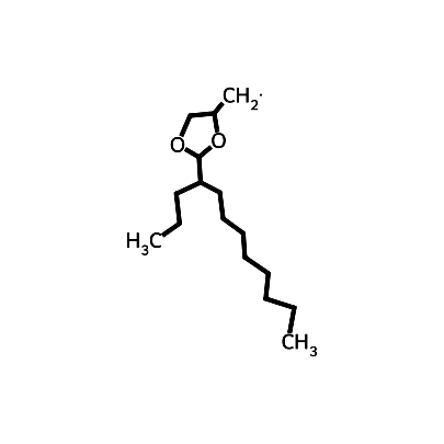 [CH2]C1COC(C(CCC)CCCCCCCC)O1